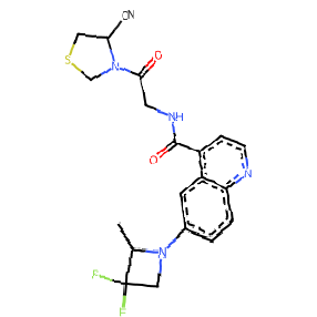 CC1N(c2ccc3nccc(C(=O)NCC(=O)N4CSCC4C#N)c3c2)CC1(F)F